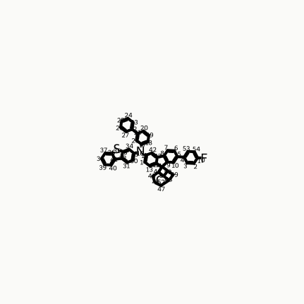 Fc1ccc(-c2ccc3c(c2)C2(c4ccc(N(c5cccc(-c6ccccc6)c5)c5ccc6c(c5)sc5ccccc56)cc4-3)C3CC4CC5CC2C53C4)cc1